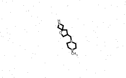 CN1CCN(CC2COC3(CNC3)C2)CC1